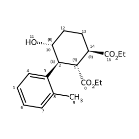 CCOC(=O)[C@@H]1[C@@H](c2ccccc2C)[C@H](O)CC[C@H]1C(=O)OCC